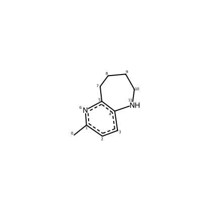 Cc1ccc2c(n1)CCCCN2